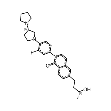 C[C@@H](O)CCc1ccc2c(=O)n(-c3ccc(N4CC[C@@H](N5CCCC5)C4)c(F)c3)ccc2c1